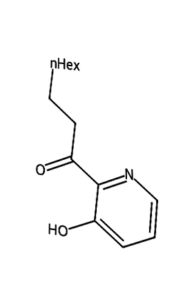 CCCCCCCCC(=O)c1ncccc1O